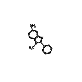 Cn1c(-c2ccccc2)nc2cc(N)ccc21